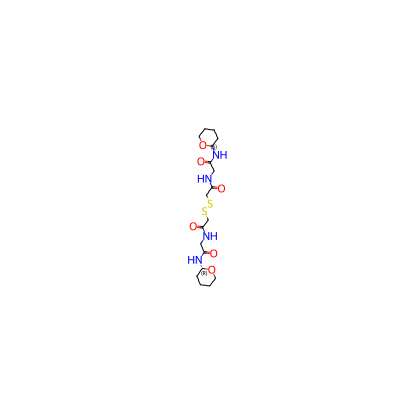 O=C(CSSCC(=O)NCC(=O)N[C@@H]1CCCCO1)NCC(=O)N[C@H]1CCCCO1